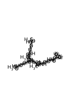 CC(=O)NCCOCCOCCNC(=O)CN(C)CCN(CCNCCN(C)CC(=O)NCCOCCOCCNC(=O)OCC1c2ccccc2-c2ccccc21)CC(=O)NCCOCCOCCNC(C)=O